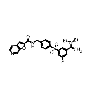 C=C(c1cc(F)cc(S(=O)(=O)c2ccc(CNC(=O)c3cc4ccncc4o3)cc2)c1)N(CC)CC